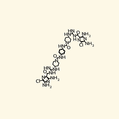 N=C(NC(=O)c1nc(Cl)c(N)nc1N)NC1CCN(C(=O)Nc2ccc(NC(=O)N3CCC(NC(=N)NC(=O)c4nc(Cl)c(N)nc4N)CC3)cc2)CC1